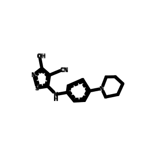 N#Cc1c(O)nsc1Nc1ccc(N2CCCCC2)cc1